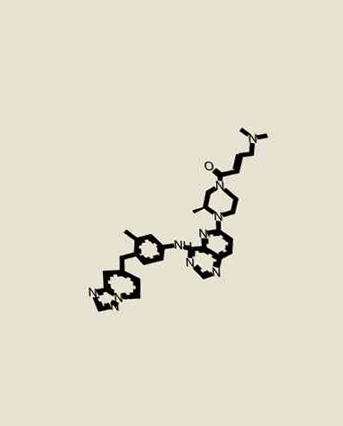 Cc1cc(Nc2ncnc3ccc(N4CCN(C(=O)/C=C/CN(C)C)C[C@@H]4C)nc23)ccc1Cc1ccn2ncnc2c1